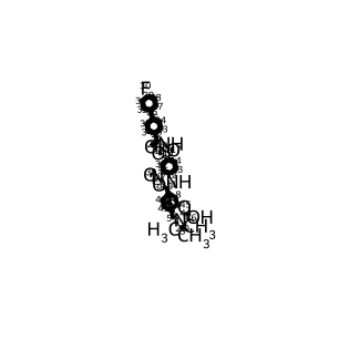 CC(C)(C)N(CC12CCC(CNc3ccc(S(=O)(=O)NC(=O)c4ccc(-c5ccc(F)cc5)cc4)cc3[N+](=O)[O-])(CC1)CC2)C(=O)O